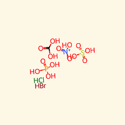 Br.Cl.O=C(O)O.O=P(O)(O)O.O=S(=O)(O)O.O=[N+]([O-])O